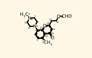 Cc1ccc(N2CCN(C)CC2)c2oc(CCOC=O)cc(=O)c12